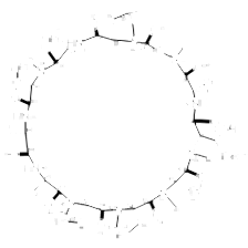 CCC[C@@H](C)[C@@H](O)[C@H]1C(=O)N[C@@H](CC)C(=O)N(C)CC(=O)N(C)[C@@H](CC(C)C)C(=O)N[C@@H](C(C)C)C(=O)N(C)[C@@H](CC(C)C)C(=O)N[C@@H](C)C(=O)N[C@H](C)C(=O)N(C)[C@@H](CC(C)C)C(=O)N(C)[C@@H](CC(C)C)C(=O)N(C)[C@@H](C(C)C)C(=O)N1C